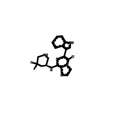 FC1(F)CNC[C@@H](Nc2nc(-c3c[nH]c4ccccc34)c(Cl)n3ccnc23)C1